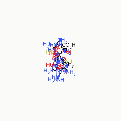 CC(C)(S)[C@H](NC(=O)[C@@H](N)Cc1ccc(O)cc1)C(=O)N[C@@H](CC(N)=O)C(=O)N[C@@H](CCCNC(=N)N)C(=O)N[C@@H](CCN)C(=O)N[C@@H](CO)C(=O)N[C@H](CCN)C(=O)N[C@@H](CCCCN)C(=O)N[C@@H](CS)C(=O)N[C@@H](CCN)C(=O)N[C@@H](CCN)C(=O)N[C@@H](Cc1ccc(O)cc1)C(=O)O